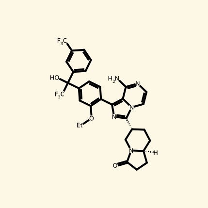 CCOc1cc(C(O)(c2cccc(C(F)(F)F)c2)C(F)(F)F)ccc1-c1nc([C@@H]2CC[C@H]3CCC(=O)N3C2)n2ccnc(N)c12